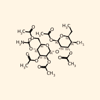 CC[C@@H]1O[C@H](OC(C)=O)[C@@H](O[C@H]2O[C@H](COC(C)=O)[C@@H](OC(N)=O)[C@H](OC(C)=O)[C@@H]2OC(C)=O)[C@@H](OC(C)=O)[C@@H]1C